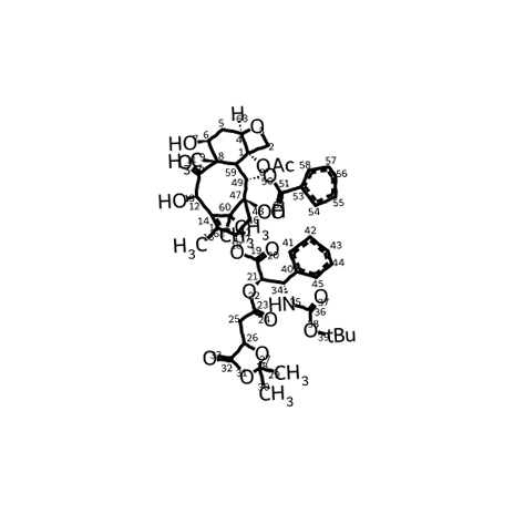 CC(=O)O[C@@]12CO[C@@H]1C[C@H](O)[C@@]1(C)C(=O)[C@H](O)C3=C(C)[C@@H](OC(=O)[C@H](OC(=O)CC4OC(C)(C)OC4=O)[C@@H](NC(=O)OC(C)(C)C)c4ccccc4)C[C@@](O)([C@@H](OC(=O)c4ccccc4)C12)C3(C)C